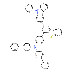 c1ccc(-c2ccc(N(c3ccc(-c4ccccc4)cc3)c3ccc(-c4cc(-c5ccc6c(c5)c5ccccc5n6-c5ccccc5)cc5c4sc4ccccc45)cc3)cc2)cc1